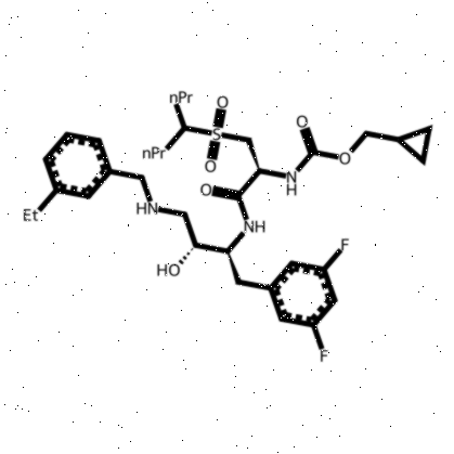 CCCC(CCC)S(=O)(=O)C[C@@H](NC(=O)OCC1CC1)C(=O)N[C@@H](Cc1cc(F)cc(F)c1)[C@H](O)CNCc1cccc(CC)c1